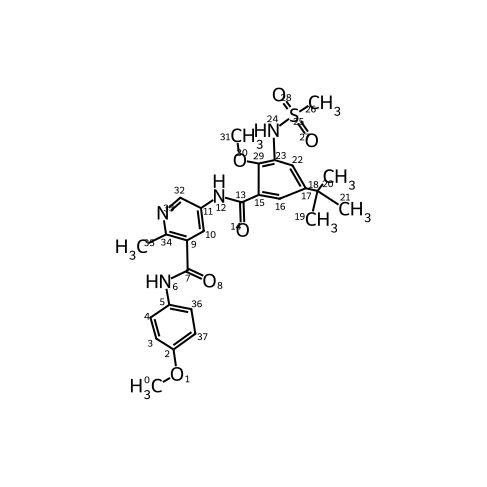 COc1ccc(NC(=O)c2cc(NC(=O)c3cc(C(C)(C)C)cc(NS(C)(=O)=O)c3OC)cnc2C)cc1